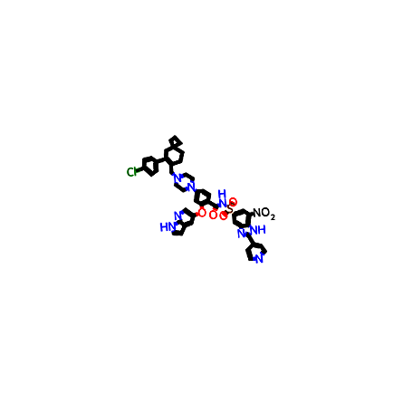 O=C(NS(=O)(=O)c1cc([N+](=O)[O-])c2[nH]c(-c3ccncc3)nc2c1)c1ccc(N2CCN(CC3=C(c4ccc(Cl)cc4)CC4(CCC4)CC3)CC2)cc1Oc1cnc2[nH]ccc2c1